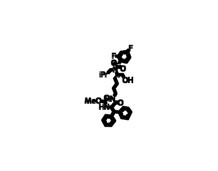 COC(=O)N[C@H](C(=O)NCCCC[C@@H](CO)N(CC(C)C)S(=O)(=O)c1ccc(F)cc1F)C(c1ccccc1)c1ccccc1